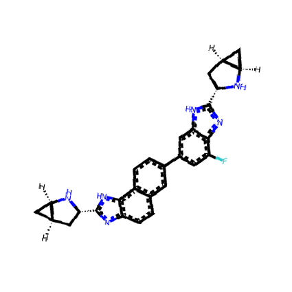 Fc1cc(-c2ccc3c(ccc4nc([C@@H]5C[C@H]6C[C@H]6N5)[nH]c43)c2)cc2[nH]c([C@@H]3C[C@H]4C[C@H]4N3)nc12